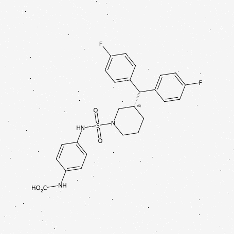 O=C(O)Nc1ccc(NS(=O)(=O)N2CCC[C@@H](C(c3ccc(F)cc3)c3ccc(F)cc3)C2)cc1